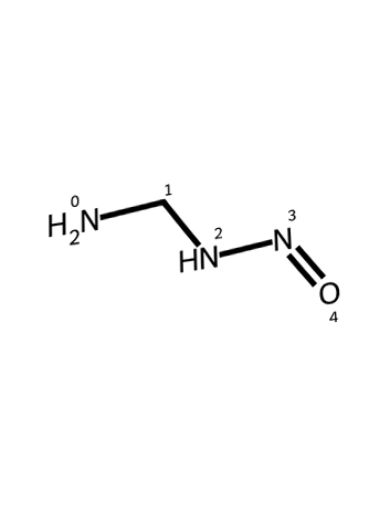 NCNN=O